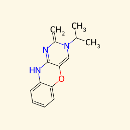 C=C1N=C2Nc3ccccc3OC2=CN1C(C)C